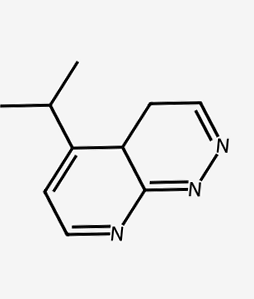 CC(C)C1=CC=NC2=NN=CCC12